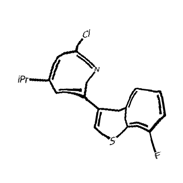 CC(C)c1cc(Cl)nc(-c2csc3c(F)cccc23)c1